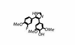 COc1ccc(-c2[nH]cnc2-c2cc(OC)c(O)c(OC)c2)cc1F